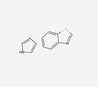 c1cc[nH]c1.c1ccc2scnc2c1